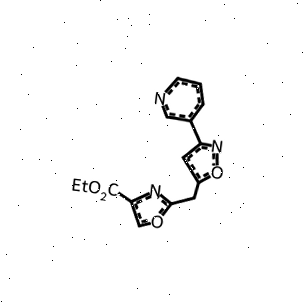 CCOC(=O)c1coc(Cc2cc(-c3cccnc3)no2)n1